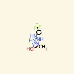 Cc1cc(O)nc(NC(=N)Nc2cccc(C(F)(F)F)c2)n1